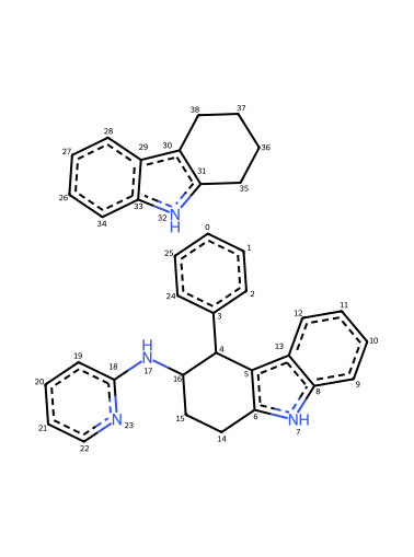 c1ccc(C2c3c([nH]c4ccccc34)CCC2Nc2ccccn2)cc1.c1ccc2c3c([nH]c2c1)CCCC3